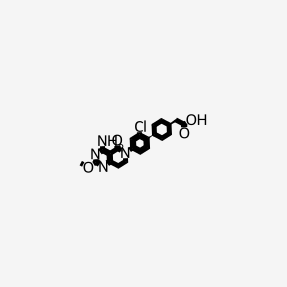 COc1nc(N)c2c(n1)CCN(c1ccc([C@H]3CC[C@H](CC(=O)O)CC3)c(Cl)c1)C2=O